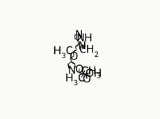 C=N/C(=C\C=C(/C)OCc1ccnc(OCC(C)(C)C(=O)O)c1)c1ccn[nH]1